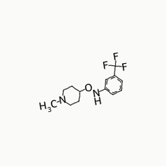 CN1CCC(ONc2cccc(C(F)(F)F)c2)CC1